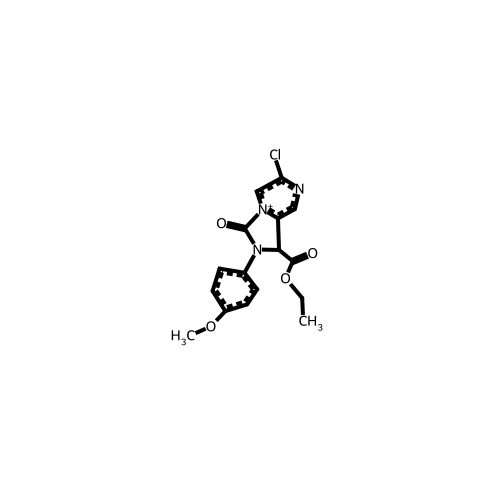 CCOC(=O)C1c2cnc(Cl)c[n+]2C(=O)N1c1ccc(OC)cc1